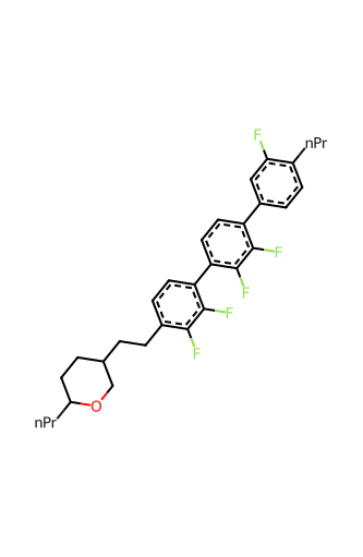 CCCc1ccc(-c2ccc(-c3ccc(CCC4CCC(CCC)OC4)c(F)c3F)c(F)c2F)cc1F